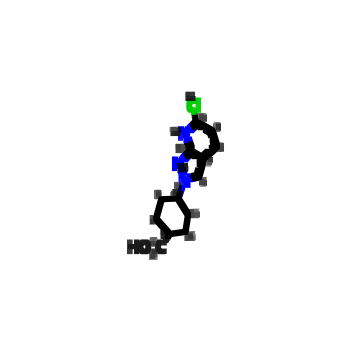 O=C(O)C1CCC(n2cc3ccc(Cl)nc3n2)CC1